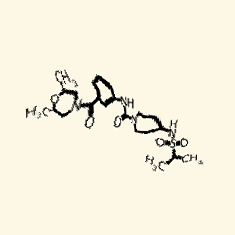 CC(C)S(=O)(=O)NC1CCN(C(=O)Nc2cccc(C(=O)N3C[C@@H](C)O[C@@H](C)C3)c2)CC1